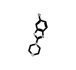 Brc1ccc2nc(N3CCOCC3)sc2c1